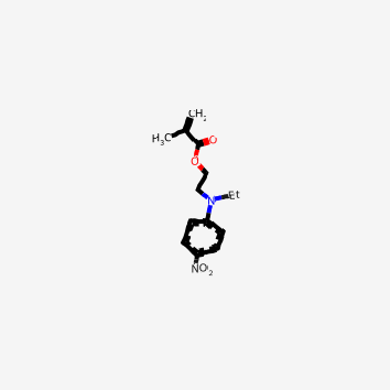 C=C(C)C(=O)OCCN(CC)c1ccc([N+](=O)[O-])cc1